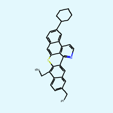 CC(C)Cc1ccc2c(CC(C)(C)C)c3c(cc2c1)-c1nccc2c1c(cc1ccc(C4CCCCC4)cc12)S3